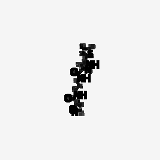 O=C(NCCCNC(=O)c1ccno1)c1cc(-c2cccs2)[nH]n1